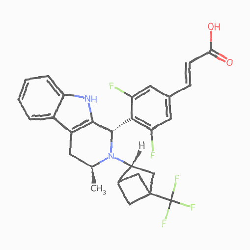 C[C@H]1Cc2c([nH]c3ccccc23)[C@H](c2c(F)cc(/C=C/C(=O)O)cc2F)N1[C@@H]1CC2(C(F)(F)F)CC1C2